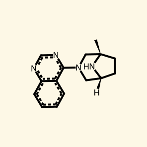 C[C@]12CC[C@H](CN(c3ncnc4ccccc34)C1)N2